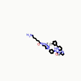 NCCCCCC(=O)NCc1cn(-c2cccc(NC(=O)N3c4nc(-c5cccc(C(F)(F)F)c5)ccc4N4CC[C@H]3C4)c2)nn1